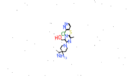 Cc1nc(N2CCC(C)([C@H](C)N)CC2)c(CO)nc1Sc1ccnnc1Cl